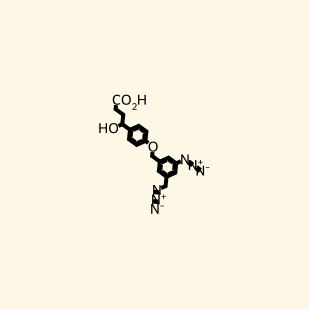 [N-]=[N+]=NCc1cc(COc2ccc(C(O)CCC(=O)O)cc2)cc(N=[N+]=[N-])c1